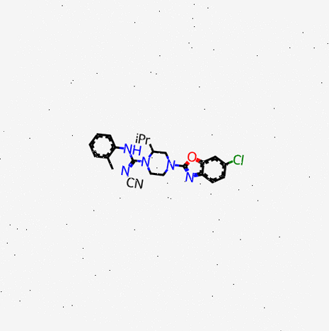 Cc1ccccc1N/C(=N/C#N)N1CCN(c2nc3ccc(Cl)cc3o2)CC1C(C)C